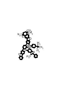 Cn1c(-c2ccccc2)nc2cc3c(cc21)-n1c2cc4c(cc2c2ccc(-c5cc6c(cc5Nc5ccc(C(C)(C)C)cc5)oc5cc7c(cc56)C(C)(C)CCC7(C)C)c(c21)B3)oc1ccccc14